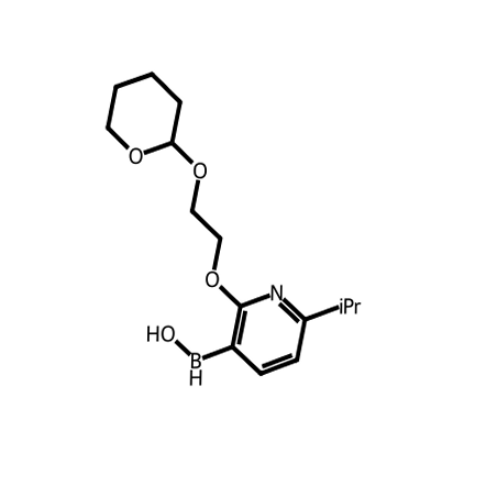 CC(C)c1ccc(BO)c(OCCOC2CCCCO2)n1